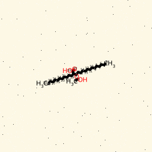 CC(=O)O.CCCCCCCCCCCCCCC(CCCCCCCCCCCC)C(=O)O